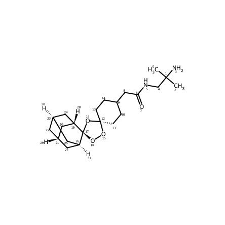 CC(C)(N)CNC(=O)CC1CC[C@]2(CC1)OO[C@]1(O2)[C@@H]2C[C@H]3C[C@@H](C2)C[C@@H]1C3